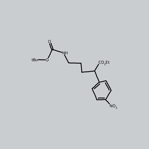 CCOC(=O)C(CCCNC(=O)OC(C)(C)C)c1ccc([N+](=O)[O-])cc1